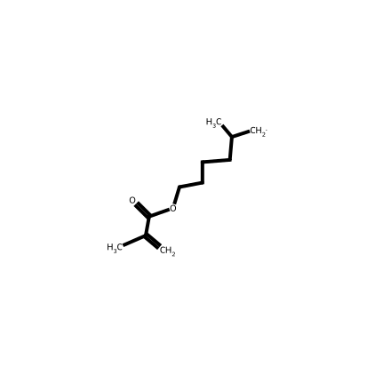 [CH2]C(C)CCCCOC(=O)C(=C)C